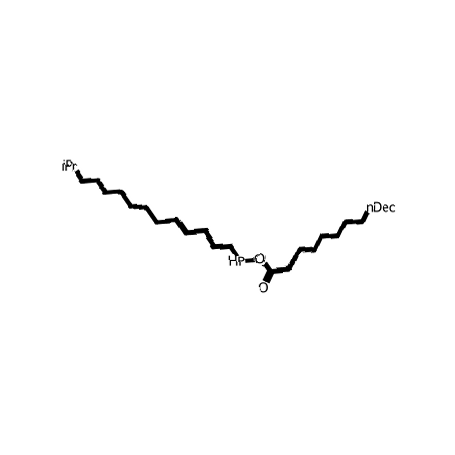 CCCCCCCCCCCCCCCCCC(=O)OPCCCCCCCCCCCCC(C)C